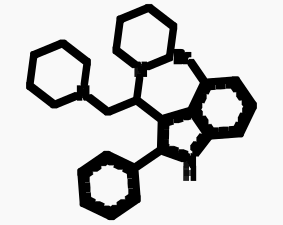 Brc1cccc2[nH]c(-c3ccccc3)c(C(CN3CCCCC3)N3CCCCC3)c12